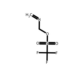 C=NCOS(=O)(=O)C(F)(F)F